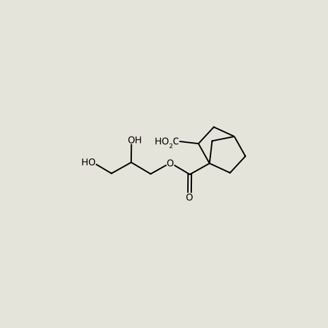 O=C(O)C1CC2CCC1(C(=O)OCC(O)CO)C2